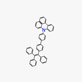 c1ccc(C(=C(c2ccccc2)c2ccc(-c3ccc(N(c4ccccc4)c4ccccc4-c4ccccc4)cc3)cc2)c2ccccc2)cc1